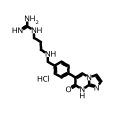 Cl.N=C(N)NCCCNCc1ccc(-c2cn3ccnc3[nH]c2=O)cc1